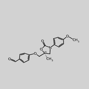 COc1ccc(N2C[C@@](C)(COc3ccc(C=O)cc3)OC2=O)cc1